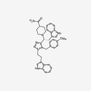 COc1ccc(Cn2c(CCc3c[nH]c4ccccc34)nnc2[C@@H](Cc2c[nH]c3ccccc23)N2CCC(C(N)=O)CC2)cc1